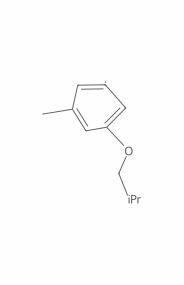 Cc1c[c]cc(OCC(C)C)c1